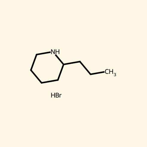 Br.CCCC1CCCCN1